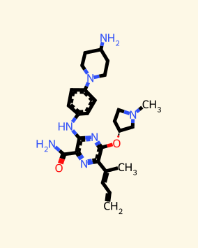 C=C/C=C(\C)c1nc(C(N)=O)c(Nc2ccc(N3CCC(N)CC3)cc2)nc1O[C@@H]1CCN(C)C1